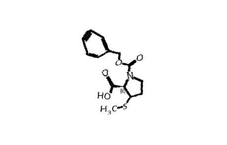 CSC1CCN(C(=O)OCc2ccccc2)[C@@H]1C(=O)O